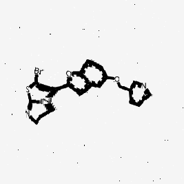 BrC1=C(c2cc3cc(OCc4cccnc4)ccc3o2)N2CCN=C2S1